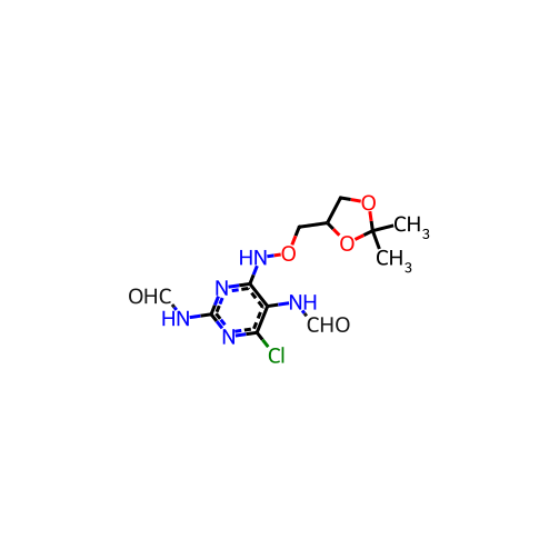 CC1(C)OCC(CONc2nc(NC=O)nc(Cl)c2NC=O)O1